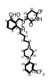 CN(Cc1c(C=O)cccc1CCCCCN1CCN(c2cccc(C(F)(F)F)c2)CC1)C1CCC(=O)NC1=O